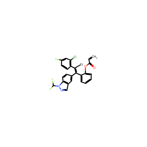 C=CC(=O)Oc1ccccc1/C(=C(\CC)c1ccc(F)cc1Cl)c1ccc2c(cnn2C(F)F)c1